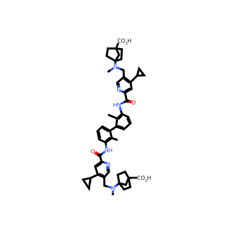 Cc1c(NC(=O)c2cc(C3CC3)c(CN(C)C34CCC(C(=O)O)(CC3)C4)cn2)cccc1-c1cccc(NC(=O)c2cc(C3CC3)c(CN(C)C34CCC(C(=O)O)(CC3)C4)cn2)c1C